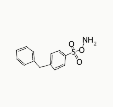 NOS(=O)(=O)c1ccc(Cc2ccccc2)cc1